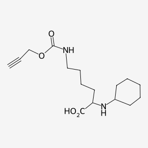 C#CCOC(=O)NCCCCC(NC1CCCCC1)C(=O)O